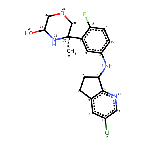 C[C@@]1(c2cc(NC3CCc4cc(Cl)cnc43)ccc2F)COCC(O)N1